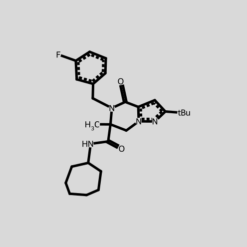 CC(C)(C)c1cc2n(n1)CC(C)(C(=O)NC1CCCCCC1)N(Cc1cccc(F)c1)C2=O